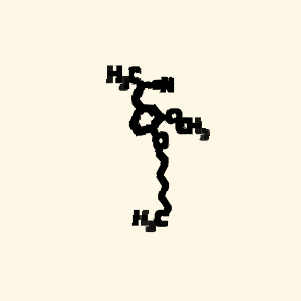 CCCCCCCOc1ccc(/C=C(/C)C#N)cc1OC